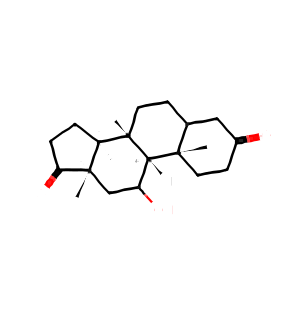 C[C@]12CCC(=O)CC1CC[C@@H]1[C@H]2C(O)C[C@]2(C)C(=O)CC[C@@H]12